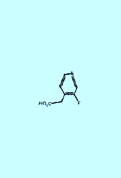 O=C(O)Cc1ccncc1F